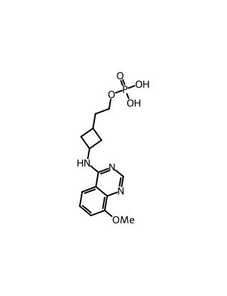 COc1cccc2c(NC3CC(CCOP(=O)(O)O)C3)ncnc12